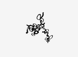 C=C1C[C@H](CCCOC(=O)C(C)(C)C)OC1CC[C@H]1CC(C)=C(COC(=O)CC)C(C[C@@H]2OC3CC(C)[C@@H](CCC)O[C@H]3[C@H](C)[C@H]2OCc2ccc(OC)cc2)O1